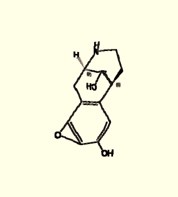 Oc1cc2c(c3c1O3)C[C@H]1NCC[C@@]23CCCCC13O